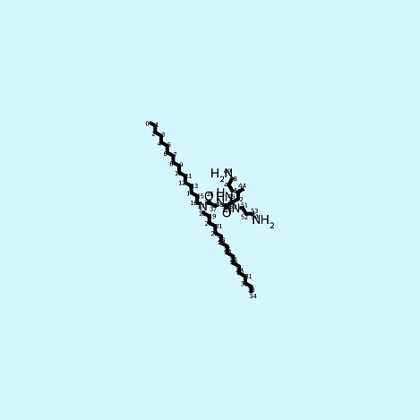 CCCCCCCCCCCCCCCCCN(CCCCCCCCCCCCCCCCC)C(=O)CNC(=O)C(CCC)(NCCCN)NCCCN